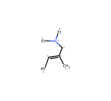 CCN([CH]C(C)=CC(C)C)CC